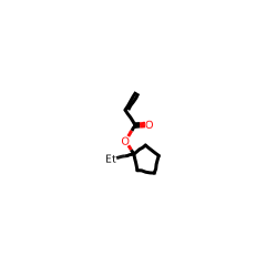 C=CC(=O)OC1(CC)CCCC1